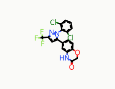 O=C1COc2ccc(-c3cc(C(F)(F)F)nn3-c3c(Cl)cccc3Cl)cc2N1